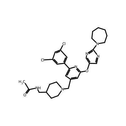 CC(=O)NCC1CCN(Cc2cc(Oc3cnc(N4CCCCCC4)nc3)nc(-c3cc(Cl)cc(Cl)c3)c2)CC1